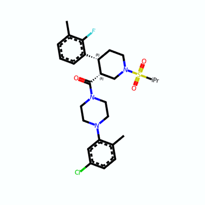 Cc1ccc(Cl)cc1N1CCN(C(=O)[C@H]2CN(S(=O)(=O)C(C)C)CC[C@H]2c2cccc(C)c2F)CC1